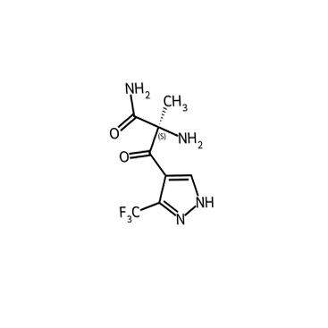 C[C@@](N)(C(N)=O)C(=O)c1c[nH]nc1C(F)(F)F